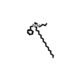 CCCCCCCCCCCCCCCC1N(CCCC)C=CN1Cc1ccccc1